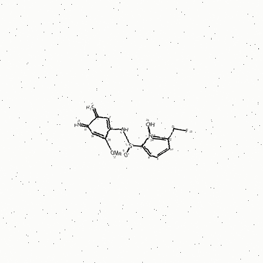 C=C1C=C(N[S+]([O-])c2cccc(CF)[n+]2O)C(OC)=CC1=N